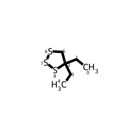 CCC1(CC)CSSS1